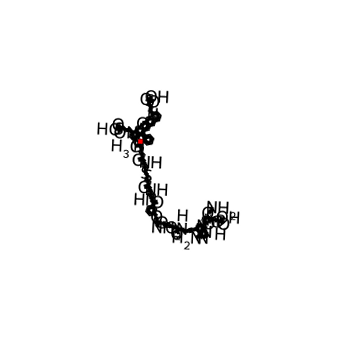 CN(CCCC(=O)NCCSSCCC(=O)NCCNC(=O)c1cccc(OCC(N)OCCOCC(=O)NCC#Cc2cn([C@H]3C[C@@H](OCN)C(CO[PH](=O)O)O3)c3ncnc(N)c23)c1)C(=O)c1ccccc1-c1c2c(cc3[o+]c4cc5c(cc4cc13)CCCN5CCCS(=O)(=O)O)N(CCCS(=O)(=O)O)CCC2